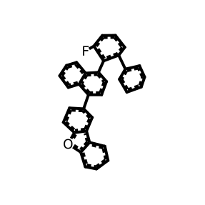 Fc1cccc(-c2ccccc2)c1-c1ccc(-c2ccc3oc4ccccc4c3c2)c2ccccc12